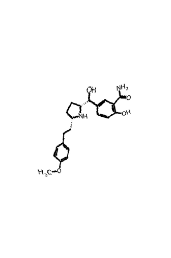 COc1ccc(CC[C@@H]2CC[C@H](C(O)c3ccc(O)c(C(N)=O)c3)N2)cc1